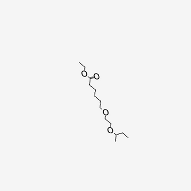 CCOC(=O)CCCCCOCCOC(C)CC